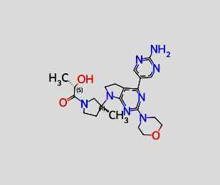 C[C@H](O)C(=O)N1CC[C@@](C)(N2CCc3c(-c4cnc(N)nc4)nc(N4CCOCC4)nc32)C1